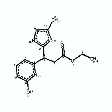 CCOC(=O)CC(c1cccc(O)n1)c1ncc(C)s1